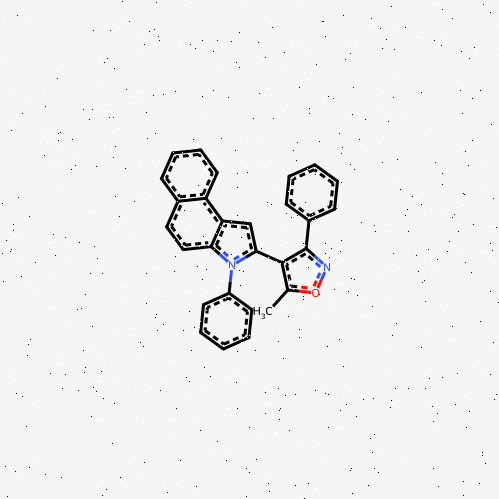 Cc1onc(-c2ccccc2)c1-c1cc2c3ccccc3ccc2n1-c1ccccc1